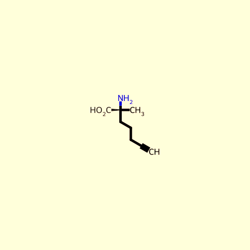 C#CCCC[C@@](C)(N)C(=O)O